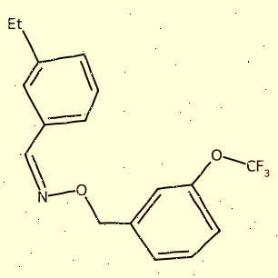 CCc1cccc(/[C]=N\OCc2cccc(OC(F)(F)F)c2)c1